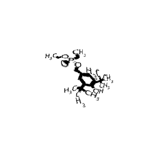 CCOP(=O)(CC)OCc1cc(C(C)(C)C)c(O)c(C(C)(C)C)c1